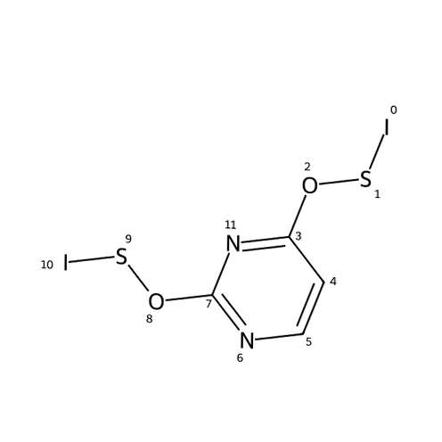 ISOc1ccnc(OSI)n1